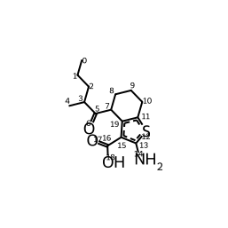 CCCC(C)C(=O)C1CCCc2sc(N)c(C(=O)O)c21